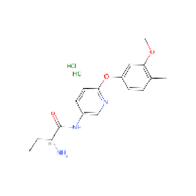 CC[C@@H](N)C(=O)Nc1ccc(Oc2ccc(C)c(OC)c2)nc1.Cl.Cl